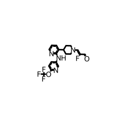 O=CC(F)=CN1CCC(c2cccnc2Nc2ccc(OC(F)(F)F)nc2)CC1